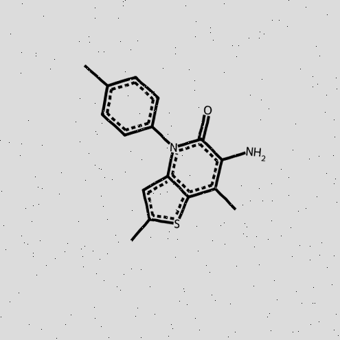 Cc1ccc(-n2c(=O)c(N)c(C)c3sc(C)cc32)cc1